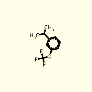 CC(C)c1c[c]cc(OC(F)(F)F)c1